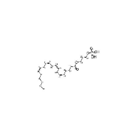 CCCCC/C=C\C/C=C\C/C=C\C/C=C\CCCC(=O)OCCCOP(=O)(O)O